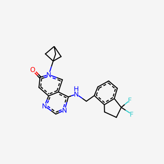 O=c1cc2ncnc(NCc3cccc4c3CCC4(F)F)c2cn1C12CC(C1)C2